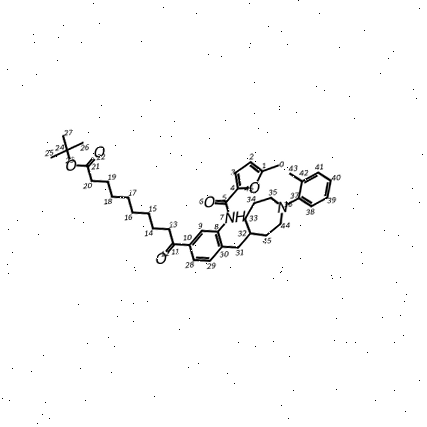 Cc1ccc(C(=O)Nc2cc(C(=O)CCCCCCCCC(=O)OC(C)(C)C)ccc2CC2CCCN(c3ccccc3C)CC2)o1